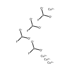 [Cu+2].[Cu+2].[Cu+2].[Cu+2].[O-]B([O-])F.[O-]B([O-])F.[O-]B([O-])F.[O-]B([O-])F